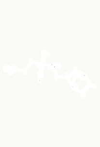 CCCS(=O)(=O)NCC1CC2C=CC1C2